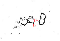 CC(C=O)=CC1C(C(=O)Oc2cccc3ccccc23)C1(C)C